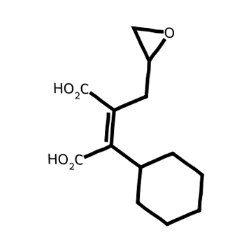 O=C(O)/C(CC1CO1)=C(\C(=O)O)C1CCCCC1